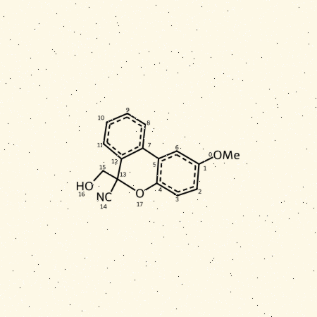 COc1ccc2c(c1)-c1ccccc1C(C#N)(CO)O2